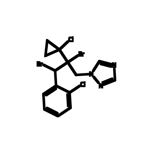 Clc1ccccc1C(Br)C(Br)(Cn1cncn1)C1(Cl)CC1